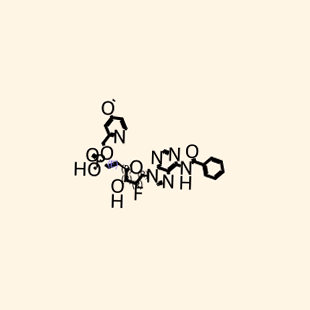 COc1ccnc(COP(=O)(O)/C=C/[C@H]2O[C@@H](n3cnc4c(NC(=O)c5ccccc5)ncnc43)[C@H](F)[C@@H]2O)c1